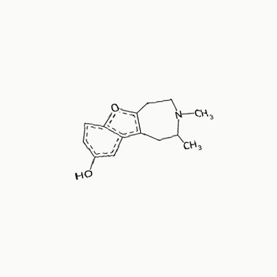 CC1Cc2c(oc3ccc(O)cc23)CCN1C